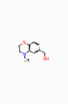 CN1CCOc2ccc(CO)cc21